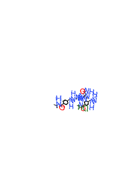 CN(C)N=Nc1[nH]cnc1C(N)=O.CNNCc1ccc(C(=O)NC(C)C)cc1.CNNCc1ccc(C(=O)NC(C)C)cc1.Cl